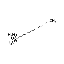 CCCCCCCCCCCCCCCCCCP(=O)(OC)ON